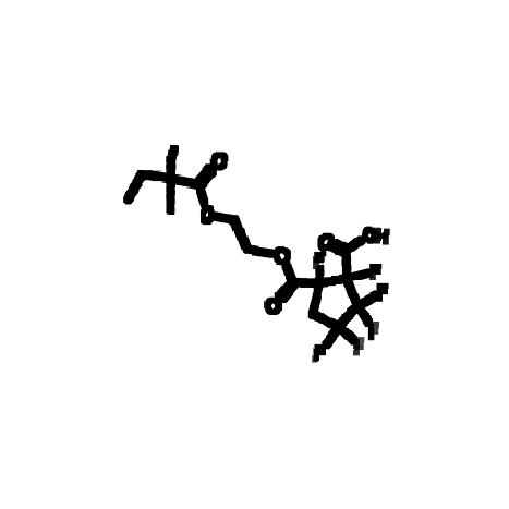 CCC(C)(C)C(=O)OCCOC(=O)C1(F)CC(F)(F)C(F)(F)C1(F)C(=O)O